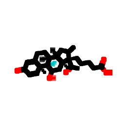 CC(=O)[C@@]1(CCCCC(=O)O)C(C)C[C@H]2[C@@H]3CCC4=CC(=O)C=C[C@]4(C)[C@@]3(F)C(O)C[C@@]21C